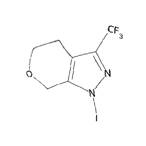 FC(F)(F)c1nn(I)c2c1CCOC2